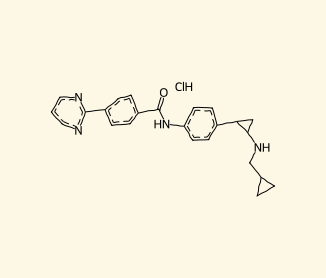 Cl.O=C(Nc1ccc(C2CC2NCC2CC2)cc1)c1ccc(-c2ncccn2)cc1